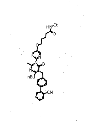 CCCCc1nc(C)n(-c2ncc(OCCCCC(=O)NCC)cn2)c(=O)c1Cc1ccc(-c2ccccc2C#N)cc1